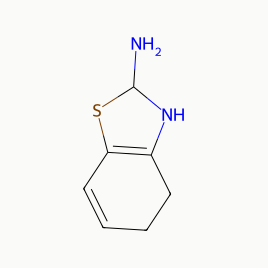 NC1NC2=C(C=CCC2)S1